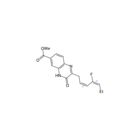 CC/C=C(F)\C=C/Cc1nc2ccc(C(=O)OC)cc2[nH]c1=O